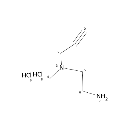 C#CCN(C)CCN.Cl.Cl